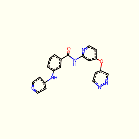 O=C(Nc1cc(Oc2ccnnc2)ccn1)c1cccc(Nc2ccncc2)c1